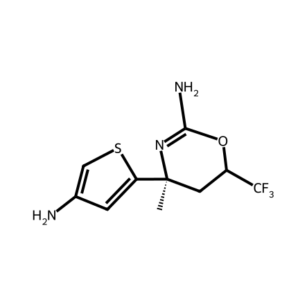 C[C@@]1(c2cc(N)cs2)CC(C(F)(F)F)OC(N)=N1